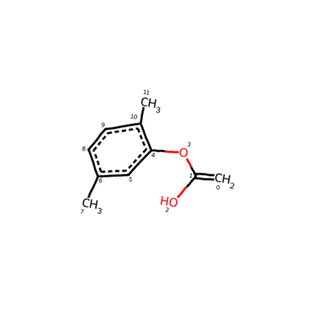 C=C(O)Oc1cc(C)ccc1C